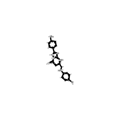 CC(C)(C)c1ccc(-c2nc3[nH]c(CNc4ccc(Br)cc4)cc(=O)n3n2)cc1